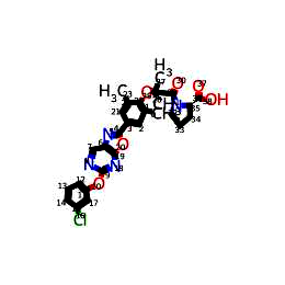 Cc1cc(-c2nc3cnc(Oc4cccc(Cl)c4)nc3o2)cc(C)c1OC(C)(C)C(=O)N1CCC[C@H]1C(=O)O